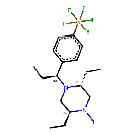 CC[C@H]1CN([C@@H](CC)c2ccc(S(F)(F)(F)(F)F)cc2)[C@H](CC)CN1I